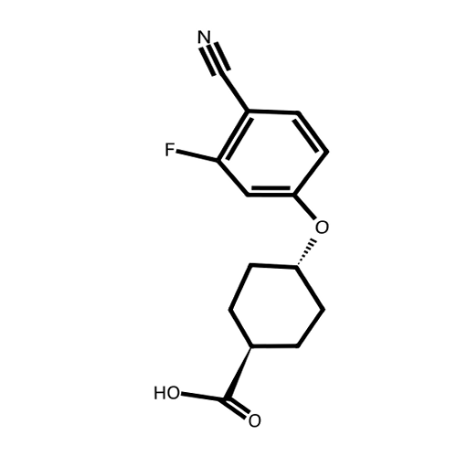 N#Cc1ccc(O[C@H]2CC[C@H](C(=O)O)CC2)cc1F